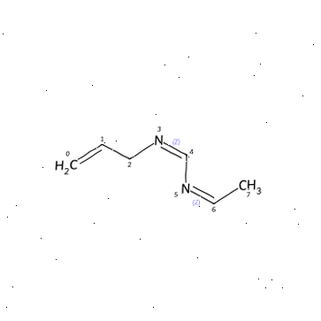 C=CC/N=C\N=C/C